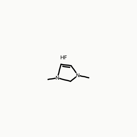 CN1C=CN(C)C1.F